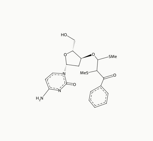 CSC(O[C@H]1C[C@H](n2ccc(N)nc2=O)O[C@@H]1CO)C(SC)C(=O)c1ccccc1